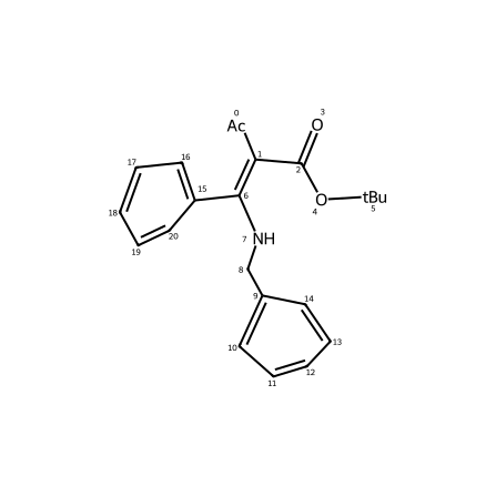 CC(=O)C(C(=O)OC(C)(C)C)=C(NCc1ccccc1)c1ccccc1